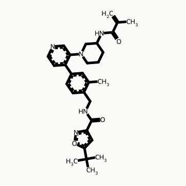 C=C(C)C(=O)NC1CCCN(c2cnccc2-c2ccc(CNC(=O)c3cc(C(C)(C)C)on3)c(C)c2)C1